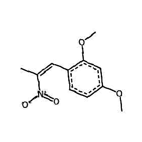 COc1ccc(/C=C(/C)[N+](=O)[O-])c(OC)c1